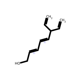 C=CC(C=C)/C=C/C=C/CO